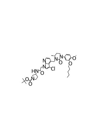 CCCCCOc1cc(N2CC[C@H](C)N(Cc3ccnc4c3c(Cl)cn4CC(=O)N[C@H]3CCN(C(=O)OC(C)(C)C)C3)C2=O)ccc1OC